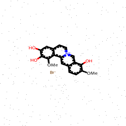 COc1ccc2cc3c4c(OC)c(O)c(O)cc4cc[n+]3cc2c1O.[Br-]